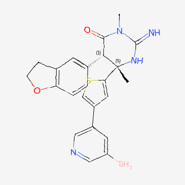 Bc1cncc(-c2csc([C@@]3(C)NC(=N)N(C)C(=O)[C@H]3c3ccc4c(c3)CCO4)c2)c1